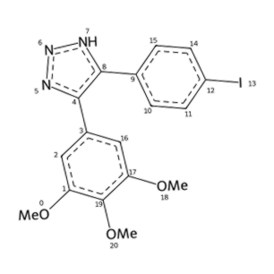 COc1cc(-c2nn[nH]c2-c2ccc(I)cc2)cc(OC)c1OC